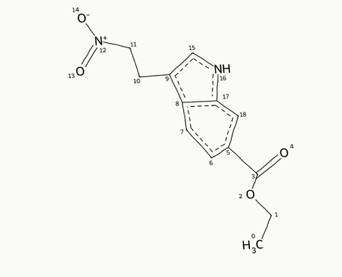 CCOC(=O)c1ccc2c(CC[N+](=O)[O-])c[nH]c2c1